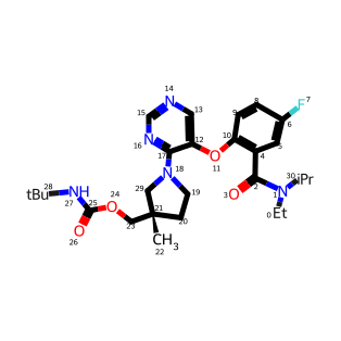 CCN(C(=O)c1cc(F)ccc1Oc1cncnc1N1CC[C@](C)(COC(=O)NC(C)(C)C)C1)C(C)C